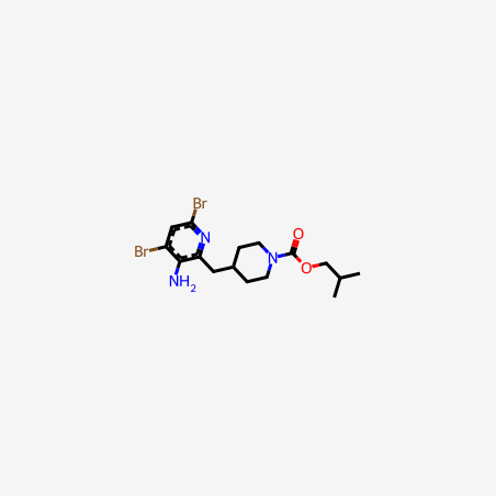 CC(C)COC(=O)N1CCC(Cc2nc(Br)cc(Br)c2N)CC1